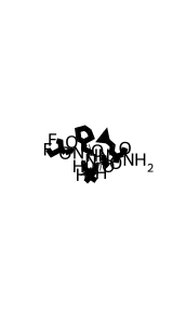 CC1(C)[C@@H]2[C@@H](C(=O)NC(CC3CC3)C(=O)C(N)=O)N(C(=O)[C@@H](NC(=O)OC(CF)CF)C3CCCCC3)C[C@@H]21